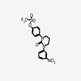 O=C1N(c2ccc(OS(=O)(=O)C(F)(F)F)cc2)CCCN1c1cccc([N+](=O)[O-])c1